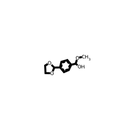 COC(O)c1ccc(C2OCCO2)cc1